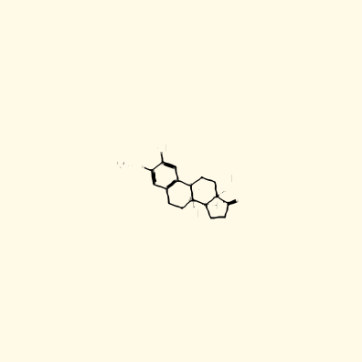 COc1cc2c(cc1C)[C@H]1CC[C@]3(C)C(=O)CC[C@H]3[C@@H]1CC2